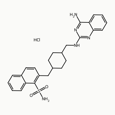 Cl.Nc1nc(NCC2CCC(Cc3ccc4ccccc4c3S(N)(=O)=O)CC2)nc2ccccc12